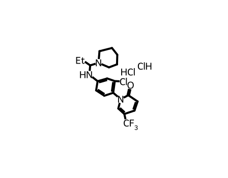 CCC(Nc1ccc(-n2cc(C(F)(F)F)ccc2=O)c(Cl)c1)N1CCCCC1.Cl.Cl